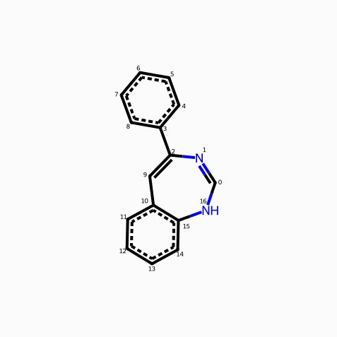 C1=NC(c2ccccc2)=Cc2ccccc2N1